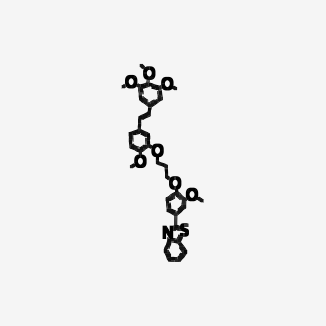 COc1cc(-c2nc3ccccc3s2)ccc1OCCCOc1cc(C=Cc2cc(OC)c(OC)c(OC)c2)ccc1OC